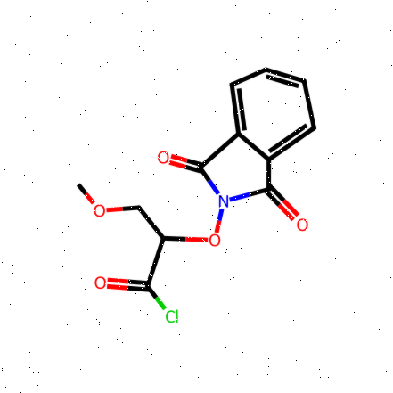 COCC(ON1C(=O)c2ccccc2C1=O)C(=O)Cl